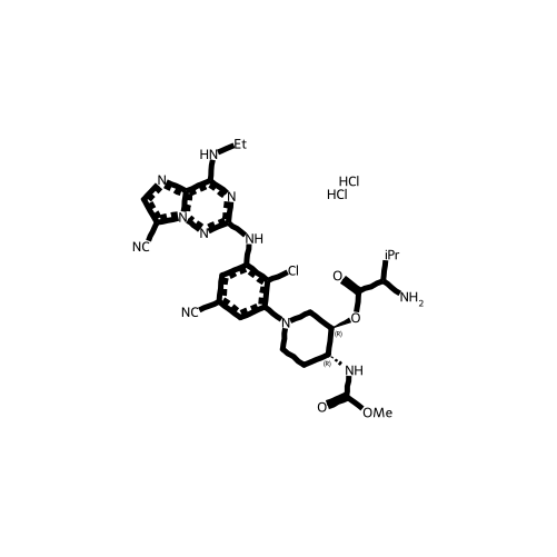 CCNc1nc(Nc2cc(C#N)cc(N3CC[C@@H](NC(=O)OC)[C@H](OC(=O)C(N)C(C)C)C3)c2Cl)nn2c(C#N)cnc12.Cl.Cl